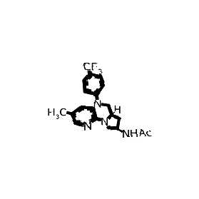 CC(=O)N[C@@H]1C[C@@H]2CN(c3ccc(C(F)(F)F)cc3)c3cc(C)cnc3N2C1